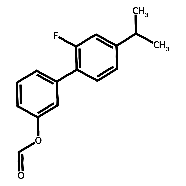 CC(C)c1ccc(-c2cccc(OC=O)c2)c(F)c1